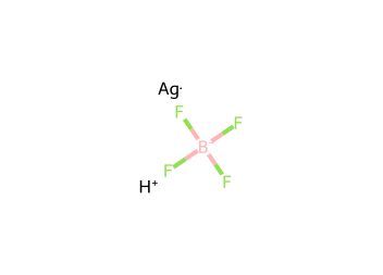 F[B-](F)(F)F.[Ag].[H+]